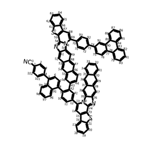 N#Cc1ccc(-c2ccc(-c3ccc(-c4cc5c6ccccc6sc5c5nc6cc7cc8ccccc8cc7cc6n45)cc3-c3ccc4cc5cc6c(cc5cc4c3)nc3c4sc5ccccc5c4cc(-c4ccc(-c5ccc7c8ccccc8c8ccccc8c7c5)cc4)n63)c3ccccc23)cc1